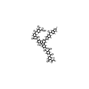 CNC(=O)c1ccc(C(=O)c2ccc(C=O)c(C(=O)Nc3ccc(C(O)(c4ccc(NC(=O)c5ccc(C(=O)c6ccc(C=O)c(C(=O)NC)c6)cc5C=O)cc4)c4ccc(N5Cc6ccc(C(=O)c7ccc8c(c7)CN(C)C8)cc6C5)cc4)cc3)c2)cc1C=O